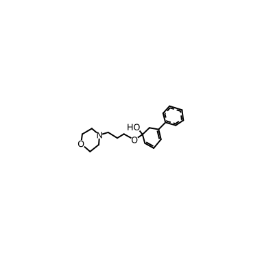 OC1(OCCCN2CCOCC2)C=CC=C(c2ccccc2)C1